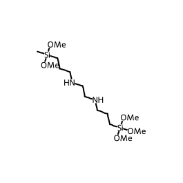 CO[Si](C)(CCCNCCNCCC[Si](OC)(OC)OC)OC